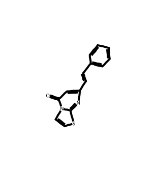 O=c1cc(/C=C/c2ccccc2)nc2sccn12